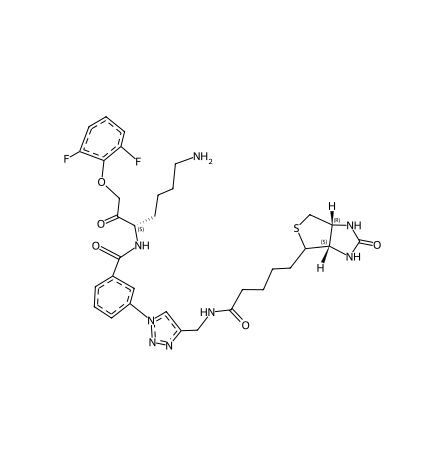 NCCCC[C@H](NC(=O)c1cccc(-n2cc(CNC(=O)CCCCC3SC[C@@H]4NC(=O)N[C@H]34)nn2)c1)C(=O)COc1c(F)cccc1F